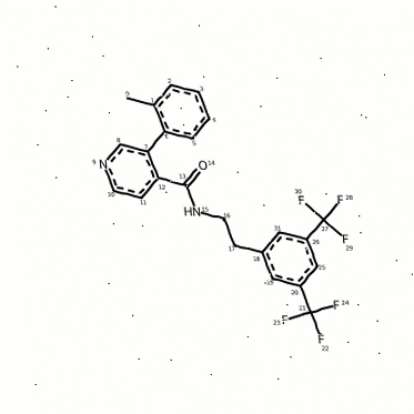 Cc1ccccc1-c1cnccc1C(=O)NCCc1cc(C(F)(F)F)cc(C(F)(F)F)c1